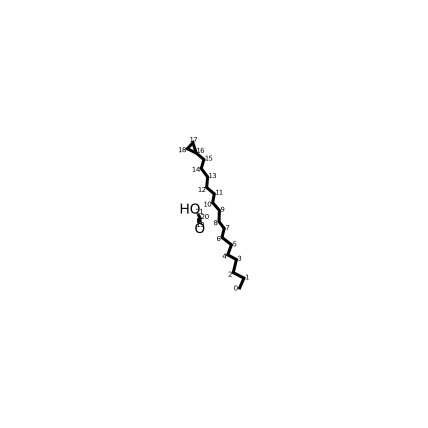 CCCCCCCCCCCCCCCCC1CC1.O=CO